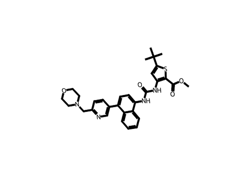 COC(=O)c1sc(C(C)(C)C)cc1NC(=O)Nc1ccc(-c2ccc(CN3CCOCC3)nc2)c2ccccc12